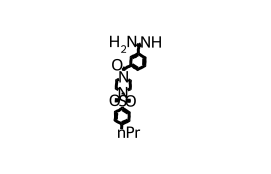 CCCc1ccc(S(=O)(=O)N2CCN(C(=O)c3cccc(C(=N)N)c3)CC2)cc1